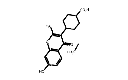 CC(=O)O.O=C(O)C1CCC(c2c(C(F)(F)F)oc3cc(O)ccc3c2=O)CC1